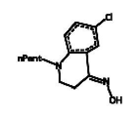 CCCCCN1CCC(=NO)c2cc(Cl)ccc21